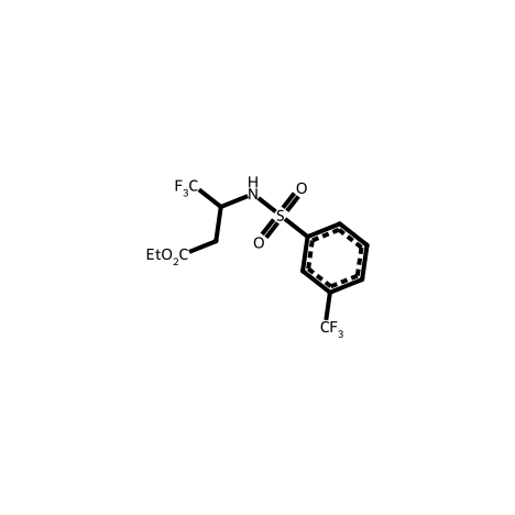 CCOC(=O)CC(NS(=O)(=O)c1cccc(C(F)(F)F)c1)C(F)(F)F